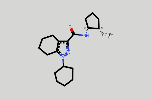 CCOC(=O)[C@H]1CCC[C@H]1NC(=O)c1nn(C2CCCCC2)c2c1CCCC2